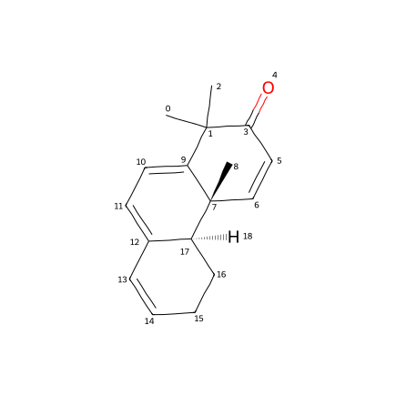 CC1(C)C(=O)C=C[C@@]2(C)C1=CC=C1C=CCC[C@@H]12